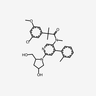 COc1cc(Cl)cc(C(C)(C)C(=O)N(C)c2cnc(N3CC(O)CC3CO)cc2-c2ccccc2C)c1